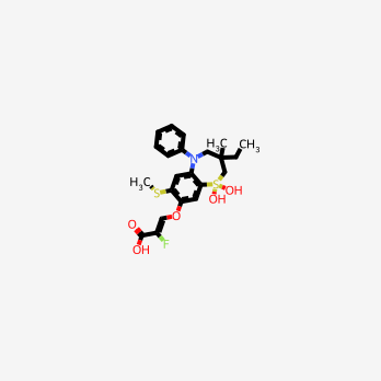 CCC1(C)CN(c2ccccc2)c2cc(SC)c(O/C=C(\F)C(=O)O)cc2S(O)(O)C1